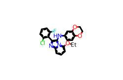 CCOc1cccc2nc(-c3c(F)cccc3Cl)c(Nc3ccc4c(c3)OCCO4)n12